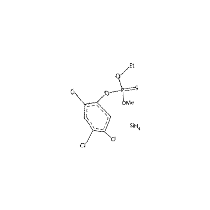 CCOP(=S)(OC)Oc1cc(Cl)c(Cl)cc1Cl.[SiH4]